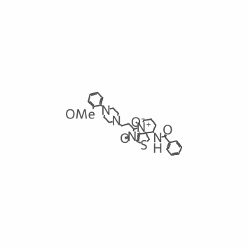 COc1ccccc1N1CCN(CCC2[N+](=O)C3=CC4(CS3)C(NC(=O)c3ccccc3)CCC[N+]24[O-])CC1